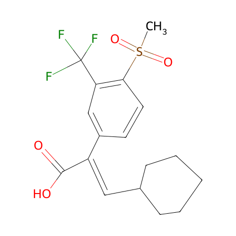 CS(=O)(=O)c1ccc(/C(=C\C2CCCCC2)C(=O)O)cc1C(F)(F)F